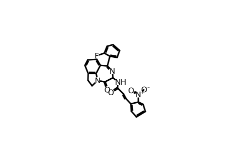 O=C(/C=C/c1ccccc1[N+](=O)[O-])NC1N=C(c2ccccc2F)c2cccc3c2N(CC3)C1=O